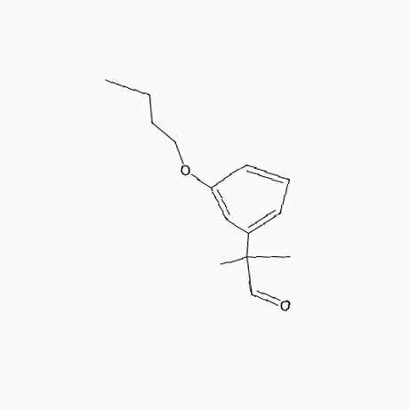 CCCCOc1cccc(C(C)(C)C=O)c1